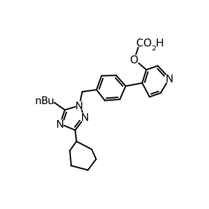 CCCCc1nc(C2CCCCC2)nn1Cc1ccc(-c2ccncc2OC(=O)O)cc1